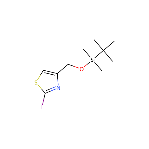 CC(C)(C)[Si](C)(C)OCc1csc(I)n1